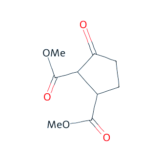 COC(=O)C1CCC(=O)C1C(=O)OC